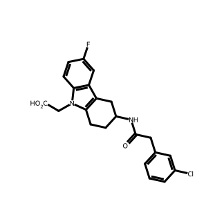 O=C(O)Cn1c2c(c3cc(F)ccc31)CC(NC(=O)Cc1cccc(Cl)c1)CC2